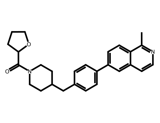 Cc1nccc2cc(-c3ccc(CC4CCN(C(=O)C5CCCO5)CC4)cc3)ccc12